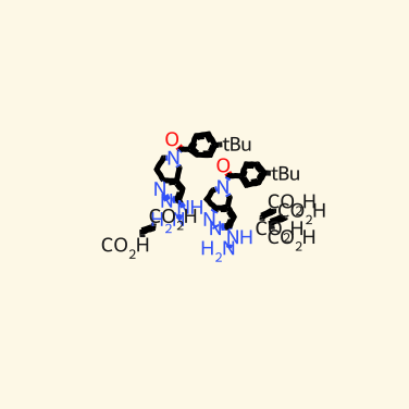 CC(C)(C)c1ccc(C(=O)N2CCc3nnc(NN)cc3C2)cc1.CC(C)(C)c1ccc(C(=O)N2CCc3nnc(NN)cc3C2)cc1.O=C(O)/C=C/C(=O)O.O=C(O)/C=C/C(=O)O.O=C(O)/C=C/C(=O)O